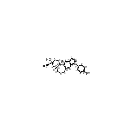 C#C[C@@]1(O)CC[C@@]2(CC)c3cc4cnn(-c5ccc(F)cc5)c4cc3CCC[C@@H]2C1